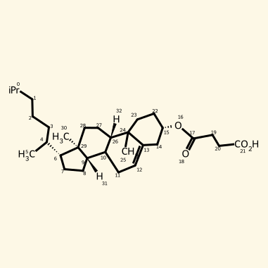 CC(C)CCCC(C)[C@H]1CC[C@H]2C3CC=C4C[C@@H](OC(=O)CCC(=O)O)CCC4(C)[C@H]3CC[C@]12C